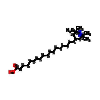 CC1(C)CC(CCCCCCCCCCCCCCCCCC(=O)O)CC(C)(C)N1